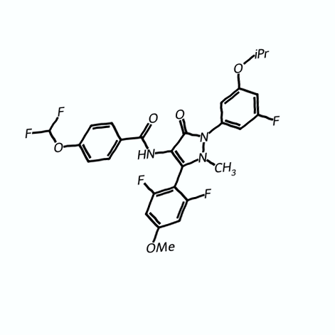 COc1cc(F)c(-c2c(NC(=O)c3ccc(OC(F)F)cc3)c(=O)n(-c3cc(F)cc(OC(C)C)c3)n2C)c(F)c1